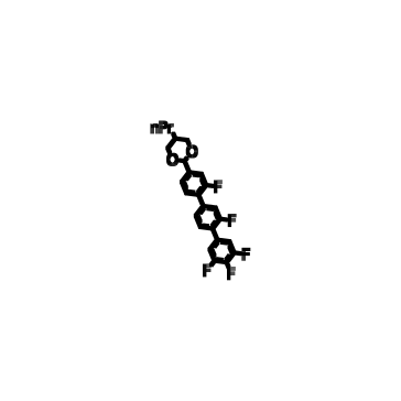 CCCC1COC(c2ccc(-c3ccc(-c4cc(F)c(F)c(F)c4)c(F)c3)c(F)c2)OC1